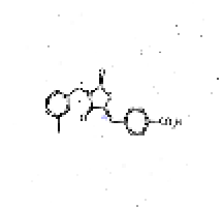 Cc1cccc(CN2C(=O)S/C(=C\c3ccc(C(=O)O)cc3)C2=O)c1